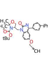 C#CCOc1ccc2c(c1)c(-c1ccc(C(C)C)cc1)nc(=O)n2CC1COC(C)(C)N1C(=O)OC(C)(C)C